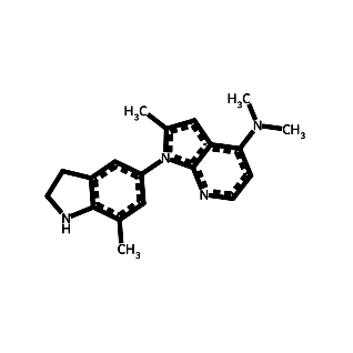 Cc1cc(-n2c(C)cc3c(N(C)C)ccnc32)cc2c1NCC2